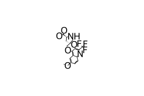 COC(=O)[C@@H]1C[C@@]2(CN1)COc1c(c(C(F)(F)F)nc3ccc(OC)cc13)O2